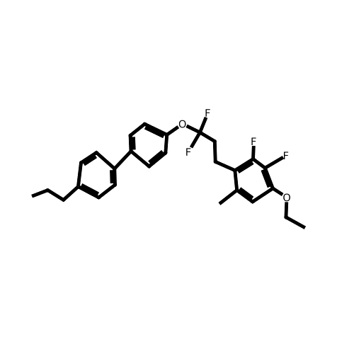 CCCc1ccc(-c2ccc(OC(F)(F)CCc3c(C)cc(OCC)c(F)c3F)cc2)cc1